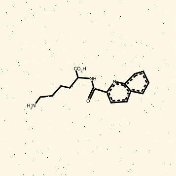 NCCCCC(NC(=O)c1ccc2ccccc2n1)C(=O)O